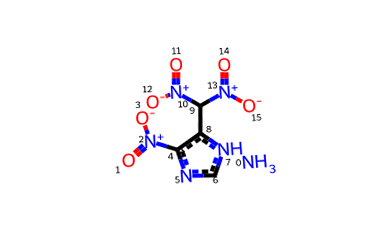 N.O=[N+]([O-])c1nc[nH]c1C([N+](=O)[O-])[N+](=O)[O-]